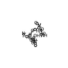 CCN(c1cc(-c2ccc(OCCCCOc3cc(-c4scnc4C)ccc3CNC(=O)C3C[C@@H](O)CN3C(=O)C(C(C)C)N3Cc4ccccc4C3=O)cc2)cc(C(=O)NCc2c(C)cc(C)[nH]c2=O)c1C)C1CCOCC1